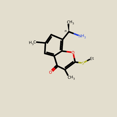 CCSc1oc2c([C@@H](C)N)cc(C)cc2c(=O)c1C